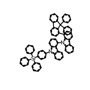 c1ccc(C2(c3ccccc3)c3ccccc3-c3cccc(-c4cccc5c6ccccc6n(-c6cccc7c6c6ccccc6n7-c6ccc([Si](c7ccccc7)(c7ccccc7)c7ccccc7)cc6)c45)c32)cc1